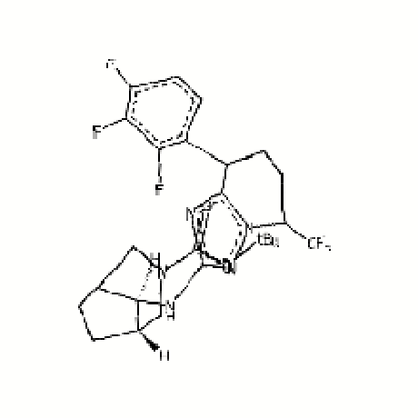 CC(C)(C)OC(=O)N1CC2CC[C@@H](C1)[C@@H]2Nc1nc2n(n1)C(C(F)(F)F)CCC2c1ccc(F)c(F)c1F